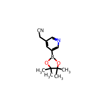 CC1(C)OB(c2cncc(CC#N)c2)OC1(C)C